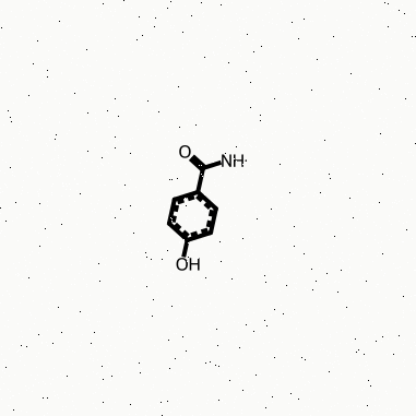 [NH]C(=O)c1ccc(O)cc1